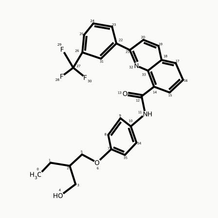 CCC(CO)COc1ccc(NC(=O)c2cccc3ccc(-c4cccc(C(F)(F)F)c4)nc23)cc1